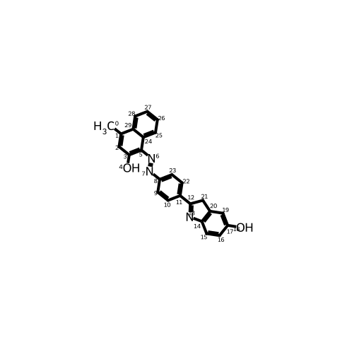 Cc1cc(O)c(/N=N/c2ccc(C3=Nc4ccc(O)cc4C3)cc2)c2ccccc12